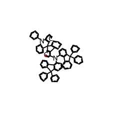 c1ccc(N2c3ccccc3C3(c4ccccc4-c4c(N(c5cccc6c5-c5ccccc5C6(c5ccccc5)c5ccccc5)c5cccc6c5-c5ccccc5C6(c5ccccc5)c5ccccc5)cccc43)c3ccccc32)cc1